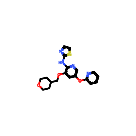 c1ccc(Oc2cnc(Nc3nccs3)c(OCC3CCOCC3)c2)nc1